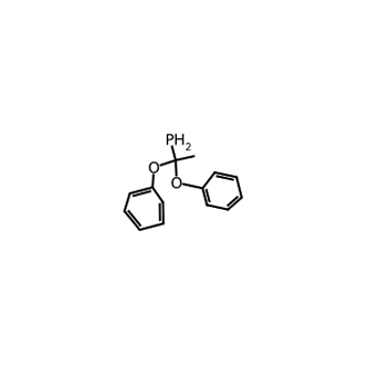 CC(P)(Oc1ccccc1)Oc1ccccc1